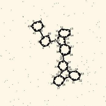 c1ccc(-c2cccc(-n3c4ccccc4c4ccc(-c5ccc6c7ccccc7c7ccccc7c6c5)cc43)c2)cc1